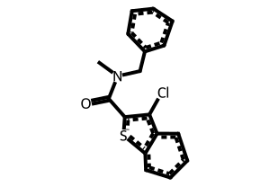 CN(Cc1ccccc1)C(=O)c1sc2ccccc2c1Cl